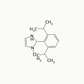 CC(C)c1cccc(C(C)C)c1C1NC=CN1Cl